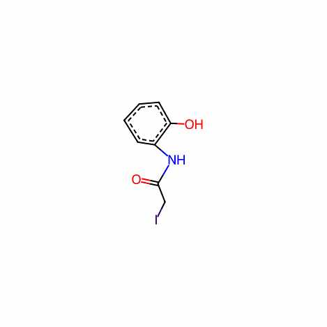 O=C(CI)Nc1ccccc1O